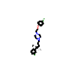 CC(C)C(C#N)(CCCN1CCN(CCOc2ccc(F)cc2)CC1)c1cccc(F)c1